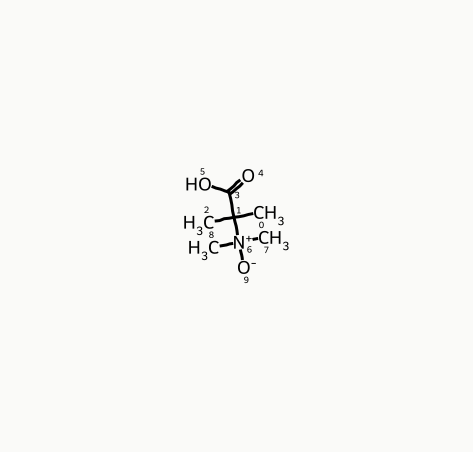 CC(C)(C(=O)O)[N+](C)(C)[O-]